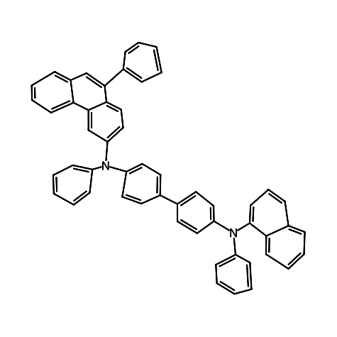 c1ccc(-c2cc3ccccc3c3cc(N(c4ccccc4)c4ccc(-c5ccc(N(c6ccccc6)c6cccc7ccccc67)cc5)cc4)ccc23)cc1